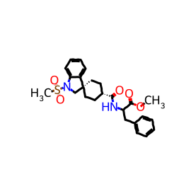 COC(=O)C(Cc1ccccc1)NC(=O)[C@H]1CC[C@]2(CC1)CN(S(C)(=O)=O)c1ccccc12